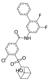 CC1(O)C2CC1CC(S(=O)(=O)c1cc(C(=O)Nc3cc(F)c(F)c(-c4ccccc4)c3)ccc1Cl)C2